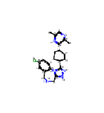 Cc1cnc(C)c([C@H]2CC[C@H](c3nnc4n3-c3ccc(Cl)cc3CNC4)CC2)n1